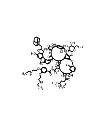 CCNCCOc1ccc(C(=O)NC(=O)C[C@@H]2CC(=O)[C@H](NC(=O)[C@H](CC)CC(C)C)[C@H](O)c3ccc(c(Cl)c3)Oc3cc4cc(c3O[C@@H]3O[C@H](CO)[C@@H](O)[C@H](O)[C@H]3O)Oc3ccc(cc3Cl)[C@@H](O)[C@@H]3NC(=O)[C@H](CC(=O)[C@@H]4NC2=O)c2ccc(O)c(c2)-c2c(O)cc(O)cc2[C@@H](C(=O)CC2C4CC5CC(C4)CC2C5)NC3=O)cc1OCCNCC